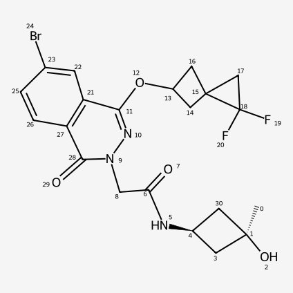 C[C@]1(O)C[C@@H](NC(=O)Cn2nc(OC3CC4(C3)CC4(F)F)c3cc(Br)ccc3c2=O)C1